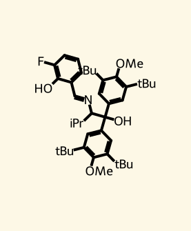 COc1c(C(C)(C)C)cc(C(O)(c2cc(C(C)(C)C)c(OC)c(C(C)(C)C)c2)C(N=Cc2cccc(F)c2O)C(C)C)cc1C(C)(C)C